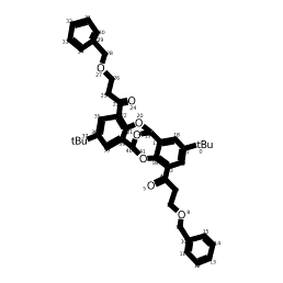 CC(C)(C)c1cc(C(=O)CCOCc2ccccc2)c2c(c1)C1Oc3c(C(=O)CCOCc4ccccc4)cc(C(C)(C)C)cc3C(O2)O1